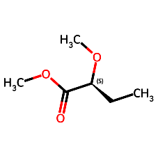 CC[C@H](OC)C(=O)OC